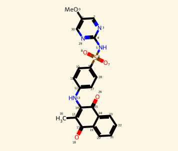 COc1cnc(NS(=O)(=O)c2ccc(NC3=C(C)C(=O)c4ccccc4C3=O)cc2)nc1